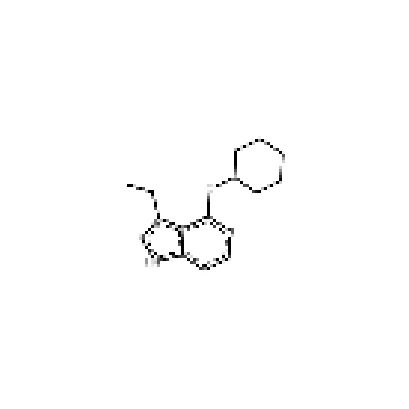 CCc1n[nH]c2ccnc(OC3CCCCC3)c12